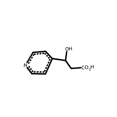 O=C(O)CC(O)c1ccncc1